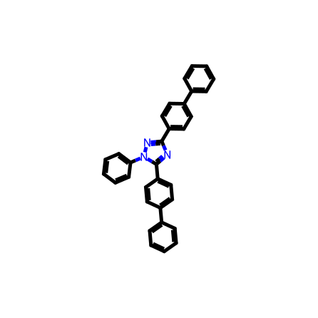 c1ccc(-c2ccc(-c3nc(-c4ccc(-c5ccccc5)cc4)n(-c4ccccc4)n3)cc2)cc1